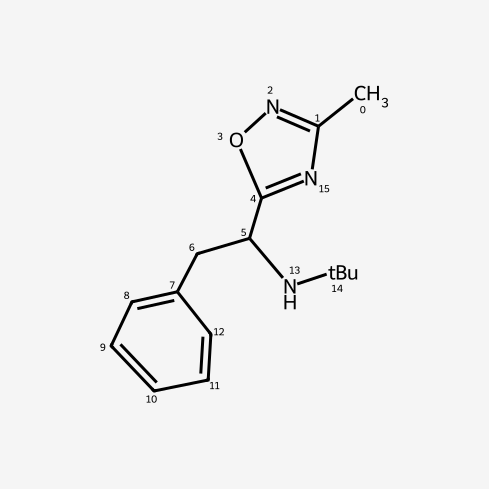 Cc1noc(C(Cc2ccccc2)NC(C)(C)C)n1